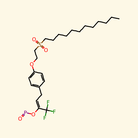 CCCCCCCCCCCCS(=O)(=O)CCOc1ccc(C/C=C(/OP=O)C(F)(F)F)cc1